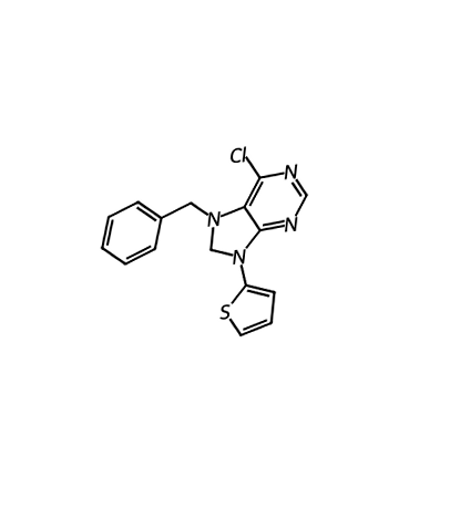 Clc1ncnc2c1N(Cc1ccccc1)CN2c1cccs1